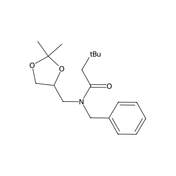 CC(C)(C)CC(=O)N(Cc1ccccc1)CC1COC(C)(C)O1